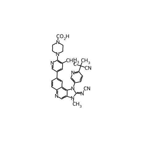 Cc1cc(-c2ccc3ncc4c(c3c2)n(-c2ccc(C(C)(C)C#N)nc2)/c(=N\C#N)n4C)cnc1N1CCN(C(=O)O)CC1